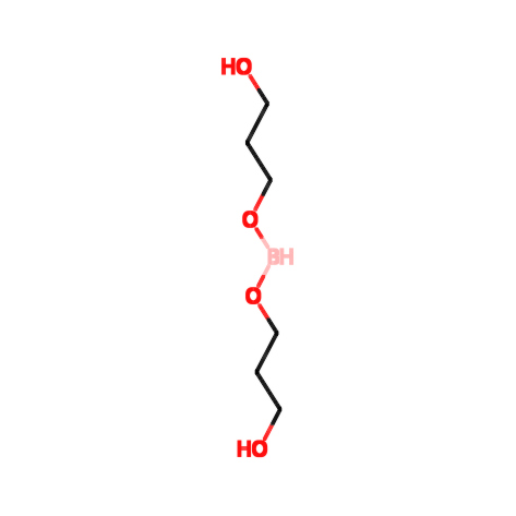 OCCCOBOCCCO